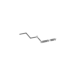 CCCSN=[N+]=[N-]